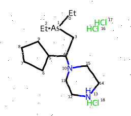 CC[As](CC)CC(C1CCCC1)N1CCNCC1.Cl.Cl.Cl